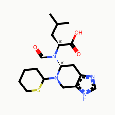 CC(C)C[C@@H](C(=O)O)N(C=O)[C@@H]1Cc2nc[nH]c2CN1C1CCCCS1